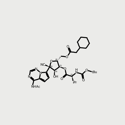 CC(=O)Nc1ncnn2c([C@]3(C#N)O[C@H](COC(=O)CC4CCCCC4)[C@@H](OC(=O)[C@@H](NC(=O)OC(C)(C)C)C(C)C)[C@H]3O)ccc12